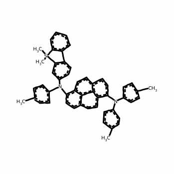 Cc1ccc(N(c2ccc(C)cc2)c2ccc3ccc4c(N(c5ccc(C)cc5)c5ccc6c(c5)[Si](C)(C)c5ccccc5-6)ccc5ccc2c3c54)cc1